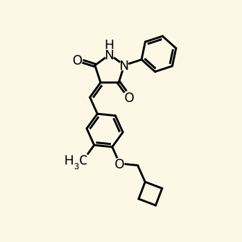 Cc1cc(C=C2C(=O)NN(c3ccccc3)C2=O)ccc1OCC1CCC1